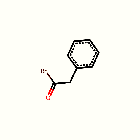 O=C(Br)Cc1ccccc1